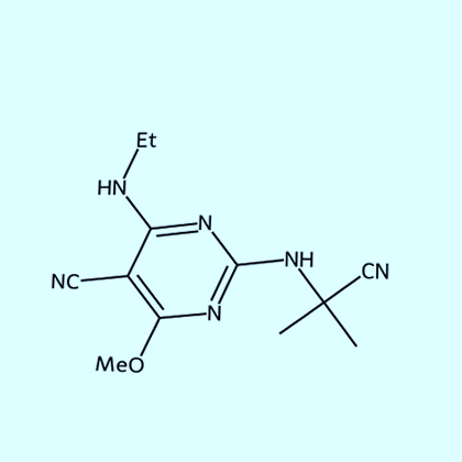 CCNc1nc(NC(C)(C)C#N)nc(OC)c1C#N